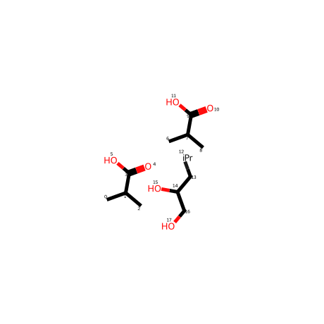 CC(C)C(=O)O.CC(C)C(=O)O.CC(C)CC(O)CO